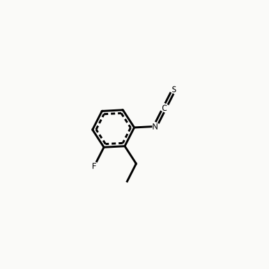 CCc1c(F)cccc1N=C=S